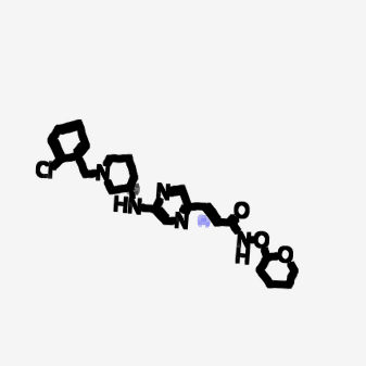 O=C(/C=C/c1cnc(N[C@@H]2CCCN(Cc3ccccc3Cl)C2)cn1)NOC1CCCCO1